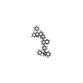 c1ccc(-c2c3ccccc3nc3c2ccc2ccc(-c4ccc(-c5ccc(-n6c(-c7ccccc7)nc7ccccc76)cc5)c5ccccc45)nc23)cc1